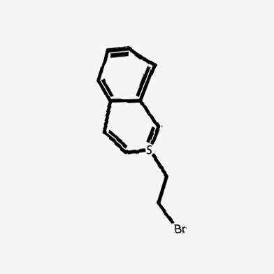 BrCCS1=[C]c2ccccc2C=C1